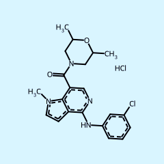 CC1CN(C(=O)c2cnc(Nc3cccc(Cl)c3)c3ccn(C)c23)CC(C)O1.Cl